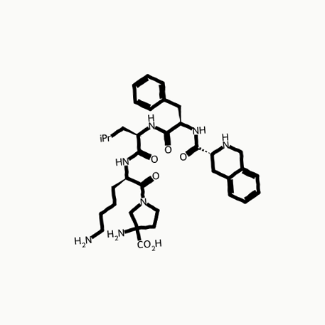 CC(C)C[C@@H](NC(=O)[C@@H](Cc1ccccc1)NC(=O)[C@H]1Cc2ccccc2CN1)C(=O)N[C@H](CCCCN)C(=O)N1CCC(N)(C(=O)O)C1